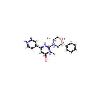 C[C@@H]1CO[C@H](c2ccccc2)CN1c1nc(-c2ccncc2)cc(=O)n1C